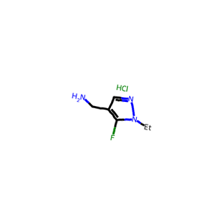 CCn1ncc(CN)c1F.Cl